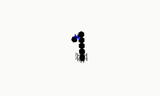 [2H]c1c([2H])c([2H])c(-c2ccc(-c3ccc(-c4ccc5c6ccccc6c6nc7ccccc7n6c5c4)cc3)cc2)c([2H])c1[2H]